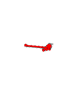 CC(=O)O[C@@]12COC1C[C@H](O)[C@@]1(C)C(=O)[C@H](C)C3=C(C)C(OC(=O)[C@H](OC(=O)CCOCCOCCOCCOCCOCCOCCOCCOCCSSc4ccccn4)C(NC(=O)c4ccccc4)c4ccccc4)C[C@@](O)([C@@H](OC(=O)c4ccccc4)[C@@H]12)C3(C)C